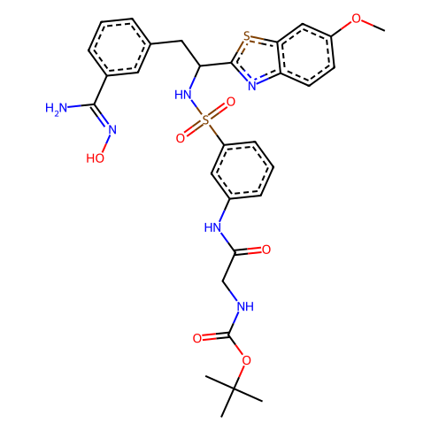 COc1ccc2nc(C(Cc3cccc(C(N)=NO)c3)NS(=O)(=O)c3cccc(NC(=O)CNC(=O)OC(C)(C)C)c3)sc2c1